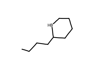 CCCCC1BCCCC1